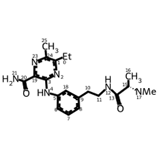 CCc1nc(Nc2cccc(CCNC(=O)[C@H](C)NC)c2)c(C(N)=O)nc1C